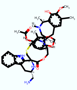 COc1c(C)cc2c(c1O)[C@H](C)N(C)C[C@](C)(N1C[C@@H]3SC[C@]4(N[C@H](CN)Cc5c4[nH]c4ccccc54)C(=O)OC[C@H]1c1c4c(c(C)c(OC(C)=O)c13)OCO4)C2